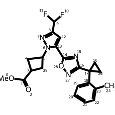 COC(=O)C1CC(n2nc(C(F)F)cc2-c2nc(C3(c4ccccc4C)CC3)no2)C1